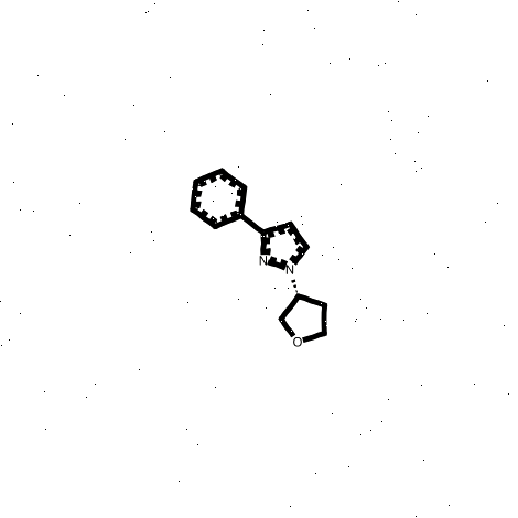 c1ccc(-c2ccn([C@@H]3CCOC3)n2)cc1